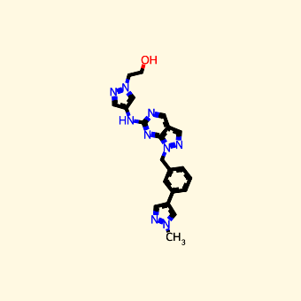 Cn1cc(-c2cccc(Cn3ncc4cnc(Nc5cnn(CCO)c5)nc43)c2)cn1